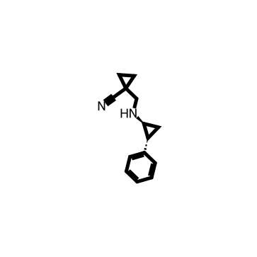 N#CC1(CN[C@H]2C[C@@H]2c2ccccc2)CC1